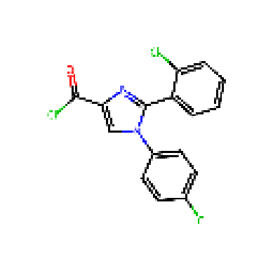 O=C(Cl)c1cn(-c2ccc(Cl)cc2)c(-c2ccccc2Cl)n1